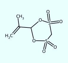 C=C(C)C1OS(=O)(=O)CS(=O)(=O)O1